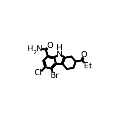 CCC(=O)C1CCc2c([nH]c3c(C(N)=O)cc(Cl)c(Br)c23)C1